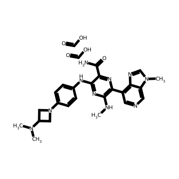 CNc1nc(Nc2ccc(N3CC(N(C)C)C3)cc2)c(C(N)=O)nc1-c1cncc2c1ncn2C.O=CO.O=CO